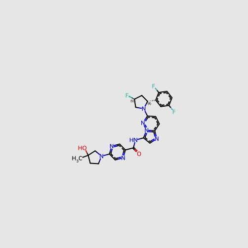 CC1(O)CCN(c2cnc(C(=O)Nc3cnc4ccc(N5C[C@@H](F)C[C@@H]5c5cc(F)ccc5F)nn34)cn2)C1